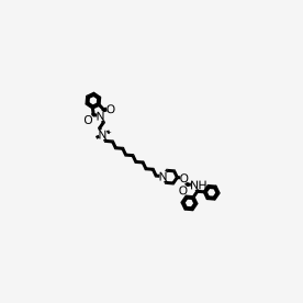 C[N+](C)(CCCCCCCCCCCN1CCC(OC(=O)NC(c2ccccc2)c2ccccc2)CC1)CCN1C(=O)c2ccccc2C1=O